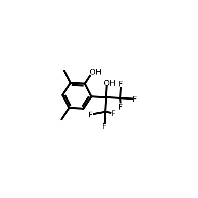 Cc1cc(C)c(O)c(C(O)(C(F)(F)F)C(F)(F)F)c1